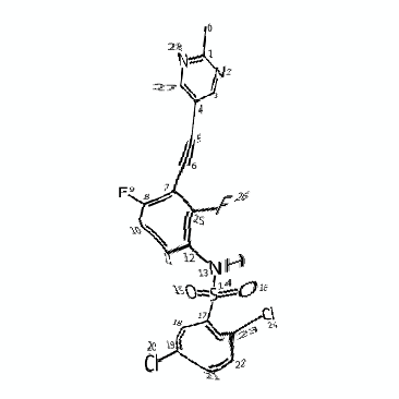 Cc1ncc(C#Cc2c(F)ccc(NS(=O)(=O)c3cc(Cl)ccc3Cl)c2F)cn1